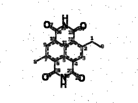 CCc1cc2c3c(c(C)cc4c3c1C(=O)NC4=O)C(=O)NC2=O